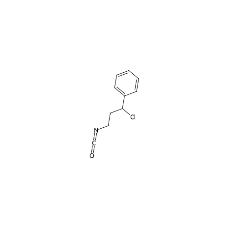 O=C=NCCC(Cl)c1ccccc1